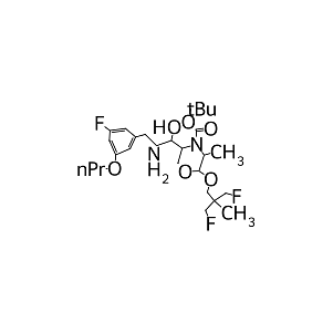 CCCOc1cc(F)cc(CC(N)C(O)C2COC(OCC(C)(CF)CF)C(C)N2C(=O)OC(C)(C)C)c1